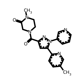 Cc1ccc(-c2cc(C(=O)N3CCN(C)C(=O)C3)nn2-c2cccnc2)nc1